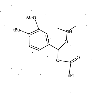 CCCC(=O)OC(O[SiH](C)C)c1ccc(C(C)(C)C)c(OC)c1